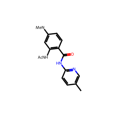 CNc1ccc(C(=O)Nc2ccc(C)cn2)c(NC(C)=O)c1